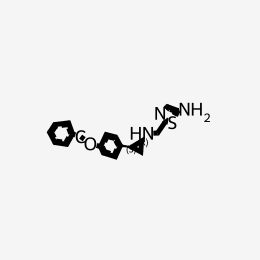 Nc1cnc(CN[C@@H]2C[C@H]2c2ccc(OCc3ccccc3)cc2)s1